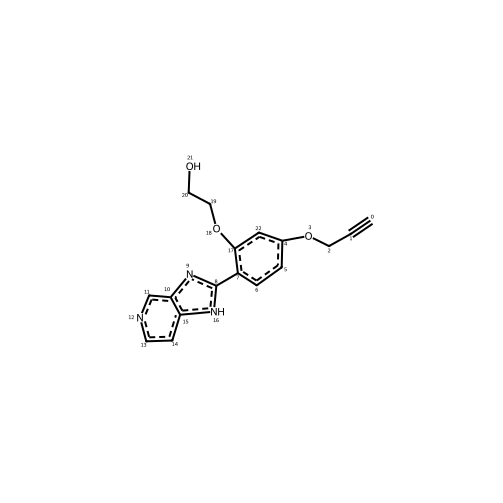 C#CCOc1ccc(-c2nc3cnccc3[nH]2)c(OCCO)c1